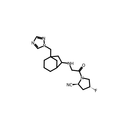 N#C[C@@H]1C[C@@H](F)CN1C(=O)CNC1CC2(Cn3cncn3)CCCC1C2